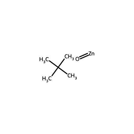 CC(C)(C)C.[O]=[Zn]